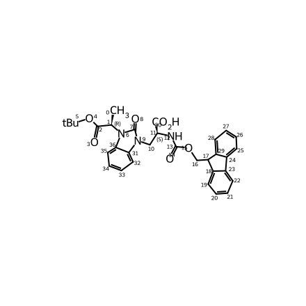 C[C@H](C(=O)OC(C)(C)C)n1c(=O)n(C[C@H](NC(=O)OCC2c3ccccc3-c3ccccc32)C(=O)O)c2ccccc21